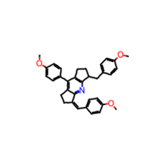 COc1ccc(/C=C2/CCc3c2nc2c(c3-c3ccc(OC)cc3)CCC2Cc2ccc(OC)cc2)cc1